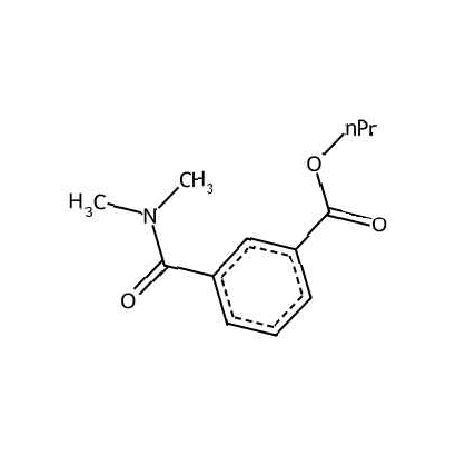 CCCOC(=O)c1cccc(C(=O)N(C)C)c1